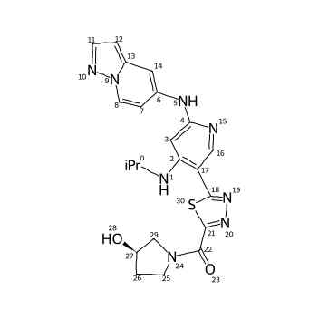 CC(C)Nc1cc(Nc2ccn3nccc3c2)ncc1-c1nnc(C(=O)N2CC[C@@H](O)C2)s1